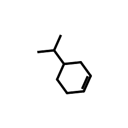 CC(C)C1CC=CCC1